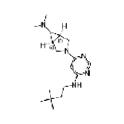 CN(C)C1[C@H]2CN(c3cc(NCCC(C)(C)C)ncn3)C[C@@H]12